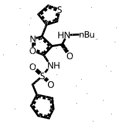 CCCCNC(=O)c1c(-c2ccsc2)noc1NS(=O)(=O)Cc1ccccc1